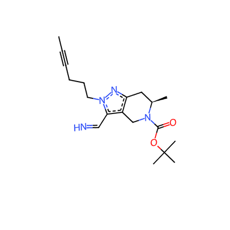 CC#CCCCn1nc2c(c1C=N)CN(C(=O)OC(C)(C)C)[C@H](C)C2